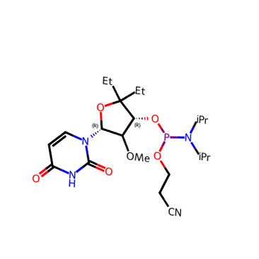 CCC1(CC)O[C@@H](n2ccc(=O)[nH]c2=O)C(OC)[C@H]1OP(OCCC#N)N(C(C)C)C(C)C